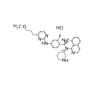 COCCCc1ccnc(Nc2ccc(C(=O)N(c3nccc4cccc(C)c34)[C@@H]3CCCNC3)c(F)c2)n1.Cl